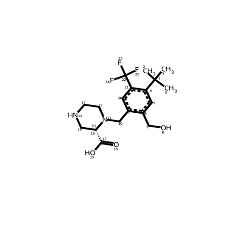 CC(C)(C)c1cc(CO)c(CN2CCNC[C@H]2C(=O)O)cc1C(F)(F)F